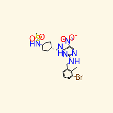 Cc1c(Br)cccc1CNc1ncc([N+](=O)[O-])c(NC[C@H]2CC[C@H](NS(C)(=O)=O)CC2)n1